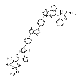 COC(=O)N[C@H](C(=O)N1CCCC1c1ncc(-c2ccc(-c3csc4c(-c5ccc(-c6cnc(C7CCCN7C(=O)[C@H](NC(=O)OC)c7ccccc7)[nH]6)cc5)csc34)cc2)[nH]1)C(C)C